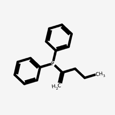 C=C(CCC)P(c1ccccc1)c1ccccc1